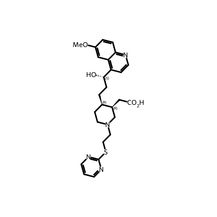 COc1ccc2nccc([C@@H](O)CC[C@@H]3CCN(CCSc4ncccn4)C[C@@H]3CC(=O)O)c2c1